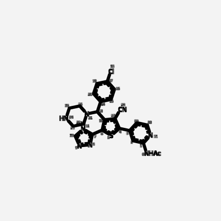 CC(=O)Nc1cc(-c2sc(-c3nnc[nH]3)c(C(c3ccc(Cl)cc3)N3CCNCC3)c2C#N)ccn1